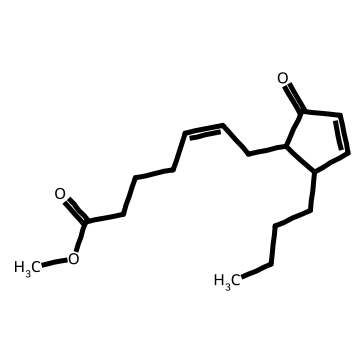 CCCCC1C=CC(=O)C1C/C=C\CCCC(=O)OC